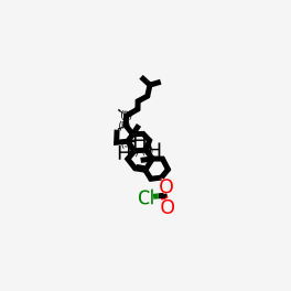 CC(C)CCC[C@@H](C)[C@H]1CC[C@H]2[C@@H]3CC=C4CC(OC(=O)Cl)CCC4(C)[C@H]3CCC12C